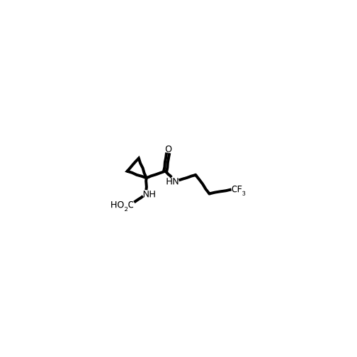 O=C(O)NC1(C(=O)NCCC(F)(F)F)CC1